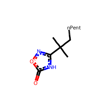 CCCCCCC(C)(C)c1noc(=O)[nH]1